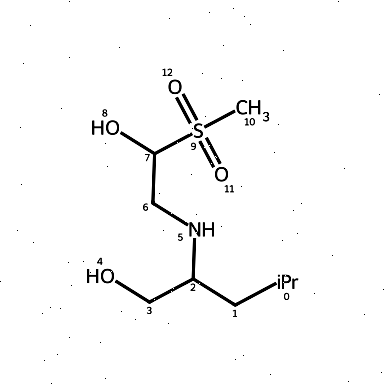 CC(C)CC(CO)NCC(O)S(C)(=O)=O